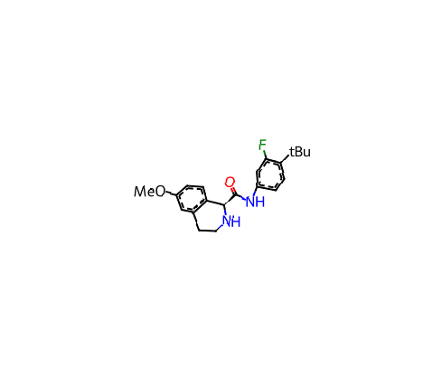 COc1ccc2c(c1)CCN[C@@H]2C(=O)Nc1ccc(C(C)(C)C)c(F)c1